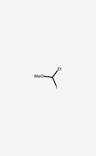 CCC(I)OC